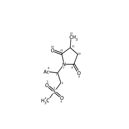 CC(=O)C(CS(C)(=O)=O)N1C(=O)CC(C)C1=O